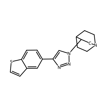 c1cc2cc(-c3cn(C4CN5CCC4CC5)nn3)ccc2s1